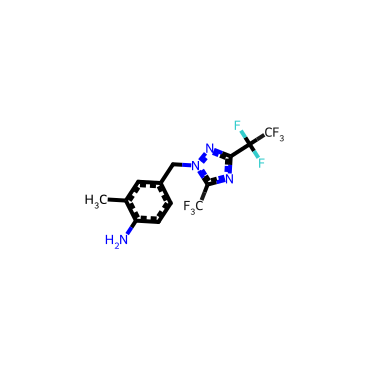 Cc1cc(Cn2nc(C(F)(F)C(F)(F)F)nc2C(F)(F)F)ccc1N